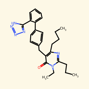 CCCCc1nc(CCC)n(CC)c(=O)c1Cc1ccc(-c2ccccc2-c2nnn[nH]2)cc1